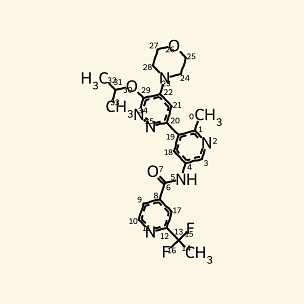 Cc1ncc(NC(=O)c2ccnc(C(C)(F)F)c2)cc1-c1cc(N2CCOCC2)c(OC(C)C)nn1